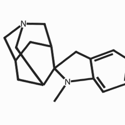 CN1c2ccccc2CC12C1CC3CC2CN(C3)C1